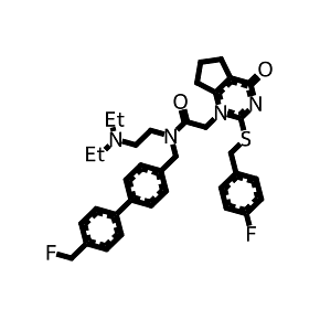 CCN(CC)CCN(Cc1ccc(-c2ccc(CF)cc2)cc1)C(=O)Cn1c(SCc2ccc(F)cc2)nc(=O)c2c1CCC2